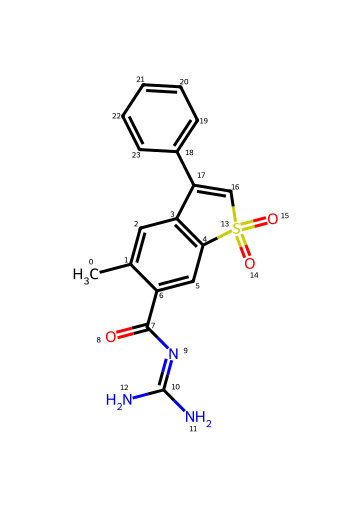 Cc1cc2c(cc1C(=O)N=C(N)N)S(=O)(=O)C=C2c1ccccc1